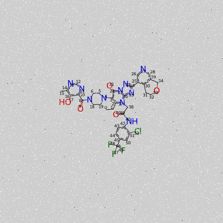 CCc1c(N2CCN(C(=O)c3ncnc(C)c3O)CC2)c(=O)n2nc(-c3cncc4c3CCOC4)nc2n1CC(=O)Nc1ccc(C(F)(F)F)cc1Cl